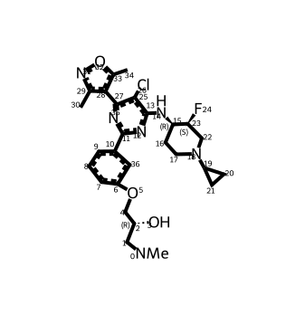 CNC[C@@H](O)COc1cccc(-c2nc(N[C@@H]3CCN(C4CC4)C[C@@H]3F)c(Cl)c(-c3c(C)noc3C)n2)c1